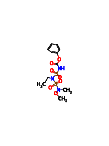 CCN(S(=O)(=O)NC(=O)Oc1ccccc1)S(=O)(=O)N(C)OC